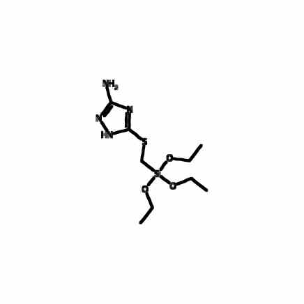 CCO[Si](CSc1nc(N)n[nH]1)(OCC)OCC